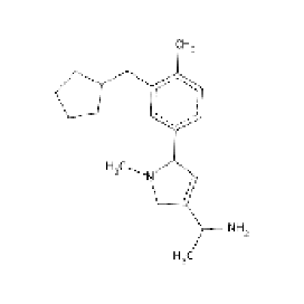 Cc1ccc(C2C=C(C(C)N)CN2C)cc1CC1CCCC1